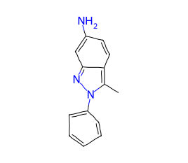 Cc1c2ccc(N)cc2nn1-c1ccccc1